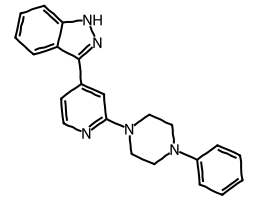 c1ccc(N2CCN(c3cc(-c4n[nH]c5ccccc45)ccn3)CC2)cc1